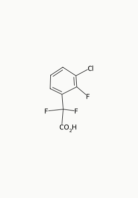 O=C(O)C(F)(F)c1cccc(Cl)c1F